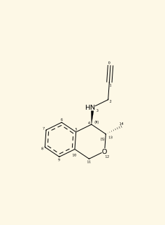 C#CCN[C@@H]1c2ccccc2CO[C@H]1C